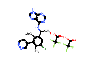 COc1c(C(C)Nc2ncnc3[nH]cnc23)cc(Cl)c(C)c1-c1ccnnc1.O=C(O)C(F)(F)F.O=C(O)C(F)(F)F